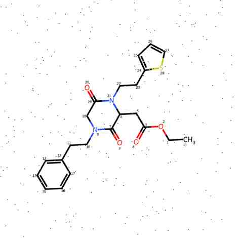 CCOC(=O)CC1C(=O)N(CCc2ccccc2)CC(=O)N1CCc1cccs1